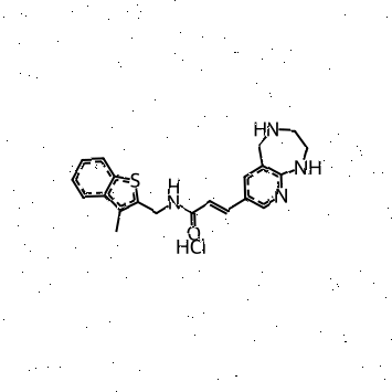 Cc1c(CNC(=O)C=Cc2cnc3c(c2)CNCCN3)sc2ccccc12.Cl